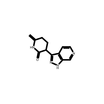 C=C1CCC(c2n[nH]c3cnccc23)C(=O)N1